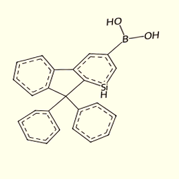 OB(O)c1c[siH]c2c(c1)-c1ccccc1C2(c1ccccc1)c1ccccc1